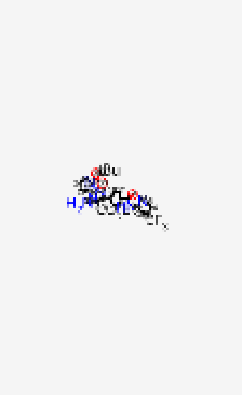 CCOC(=O)c1c(-c2ccc(C(=O)Nc3cc(C(F)(F)F)ccn3)cc2)nc([C@@H]2CCCN2C(=O)OC(C)(C)C)n1N